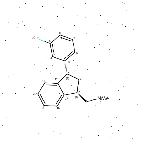 CNC[C@@H]1C[C@@H](c2cccc(F)c2)c2ccccc21